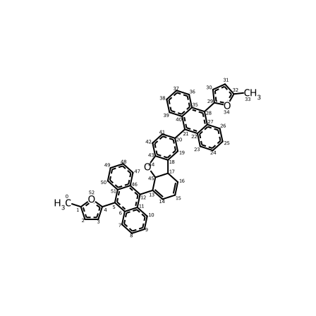 Cc1ccc(-c2c3ccccc3c(C3=CC=CC4c5cc(-c6c7ccccc7c(-c7ccc(C)o7)c7ccccc67)ccc5OC34)c3ccccc23)o1